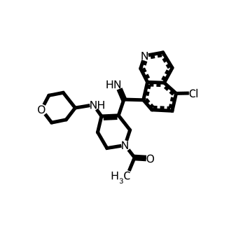 CC(=O)N1CCC(NC2CCOCC2)=C(C(=N)c2ccc(Cl)c3ccncc23)C1